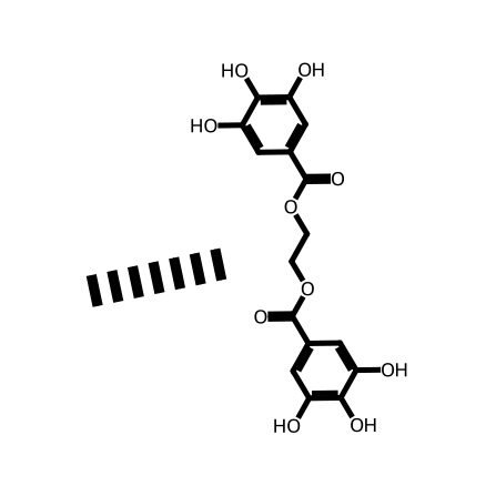 C=C.C=C.C=C.C=C.C=C.C=C.C=C.O=C(OCCOC(=O)c1cc(O)c(O)c(O)c1)c1cc(O)c(O)c(O)c1